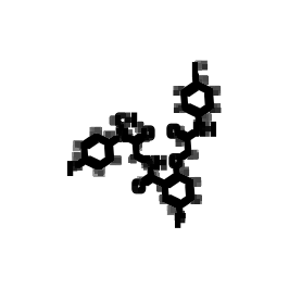 CN(C(=O)CNC(=O)c1cc(F)ccc1OCC(=O)Nc1ccc(I)cc1)c1ccc(F)cc1